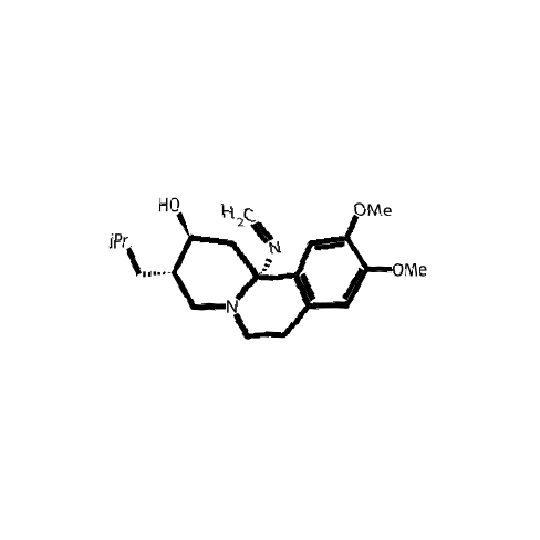 C=N[C@@]12C[C@H](O)[C@@H](CC(C)C)CN1CCc1cc(OC)c(OC)cc12